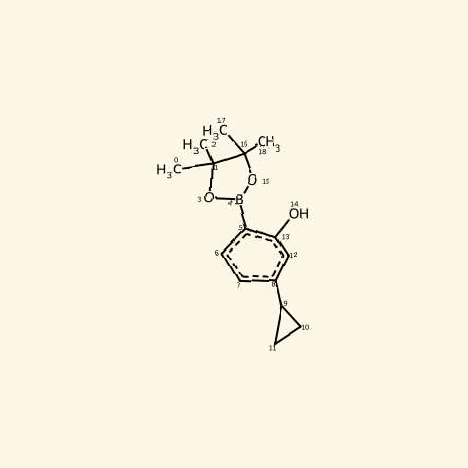 CC1(C)OB(c2ccc(C3CC3)cc2O)OC1(C)C